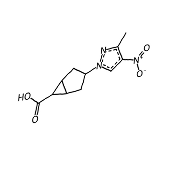 Cc1nn(C2CC3C(C2)C3C(=O)O)cc1[N+](=O)[O-]